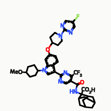 COC1CCC(n2cc(-c3ncc(C(=O)NC4(C(=O)O)C5CC6CC(C5)CC4C6)c(C(F)(F)F)n3)c3ccc(OC4CCN(c5ncc(F)cn5)CC4)cc32)CC1